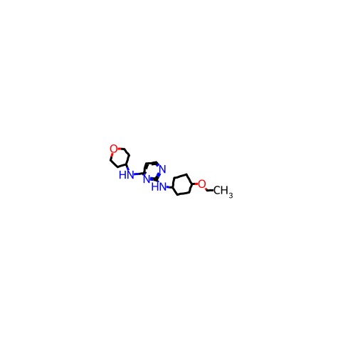 CCOC1CCC(Nc2nccc(NC3CCOCC3)n2)CC1